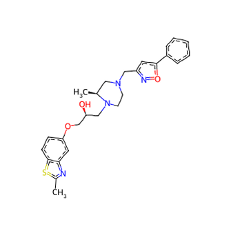 Cc1nc2cc(OC[C@@H](O)CN3CCN(Cc4cc(-c5ccccc5)on4)C[C@@H]3C)ccc2s1